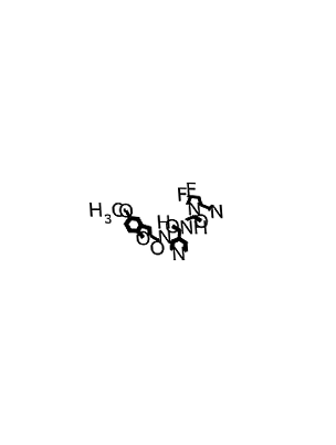 COc1ccc2oc(C(=O)Nc3cnccc3C(=O)NCC(=O)N3CC(F)(F)CC3C#N)cc2c1